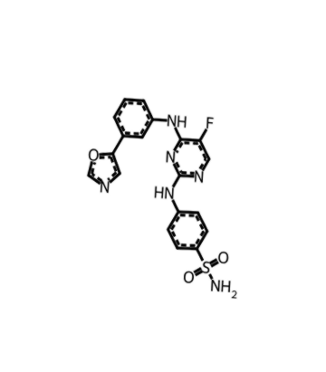 NS(=O)(=O)c1ccc(Nc2ncc(F)c(Nc3cccc(-c4cnco4)c3)n2)cc1